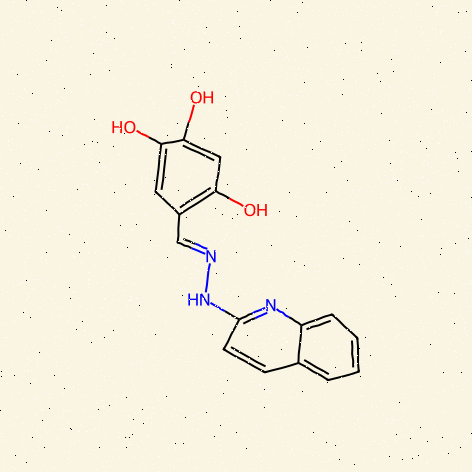 Oc1cc(O)c(C=NNc2ccc3ccccc3n2)cc1O